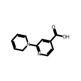 O=C(O)c1ccnc(N2C=CC=CC2)c1